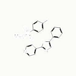 COS(=O)(=O)c1ccc(C)cc1.c1ccc(-c2cnc(-c3ccncc3)o2)cc1